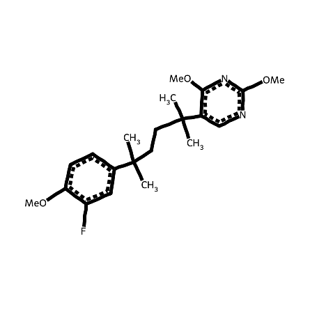 COc1ncc(C(C)(C)CCC(C)(C)c2ccc(OC)c(F)c2)c(OC)n1